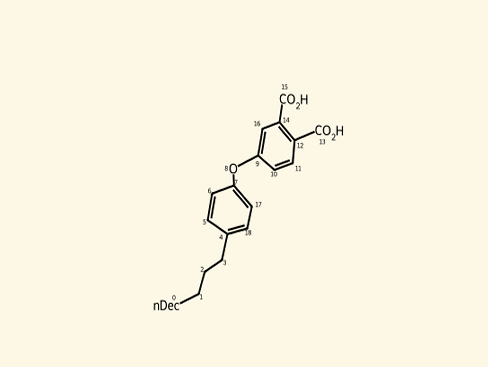 CCCCCCCCCCCCCc1ccc(Oc2ccc(C(=O)O)c(C(=O)O)c2)cc1